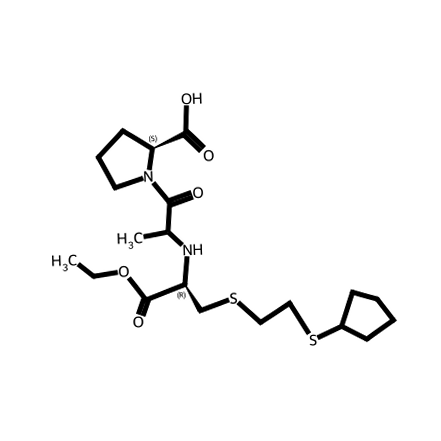 CCOC(=O)[C@H](CSCCSC1CCCC1)NC(C)C(=O)N1CCC[C@H]1C(=O)O